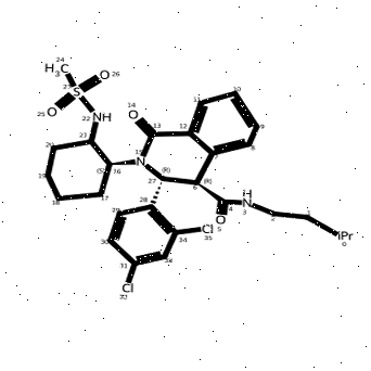 CC(C)CCNC(=O)[C@@H]1c2ccccc2C(=O)N([C@H]2CCCCC2NS(C)(=O)=O)[C@H]1c1ccc(Cl)cc1Cl